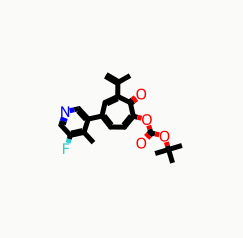 C=C(C)c1cc(-c2cncc(F)c2C)ccc(OC(=O)OC(C)(C)C)c1=O